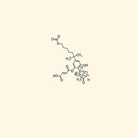 CC(C)(CCCCCO[N+](=O)[O-])c1cc(O)c([C@@H]2CC(=O)[C@@H]3C[C@H]2C3(C)C)c(OC(=O)/C=C/C(=O)O)c1